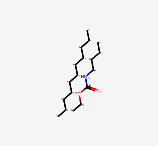 CCCCCCCCCCC.CCCCNC(=O)OCC